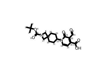 CC(C)(C)OC(=O)N1CC2(CCC(n3ccc(C(=O)O)c(C=O)c3=O)CC2)C1